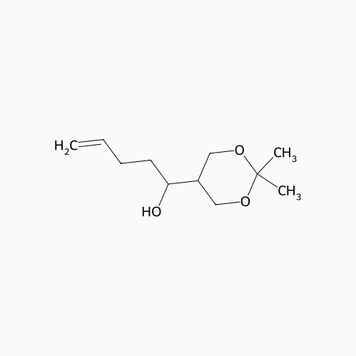 C=CCCC(O)C1COC(C)(C)OC1